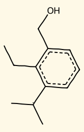 CCc1c(CO)cccc1[C](C)C